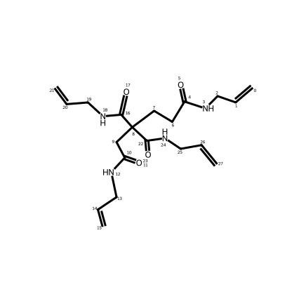 C=CCNC(=O)CCC(CC(=O)NCC=C)(C(=O)NCC=C)C(=O)NCC=C